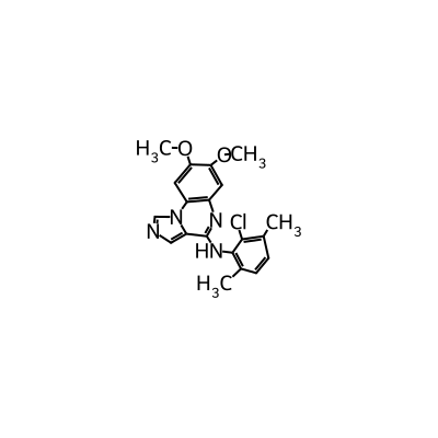 COc1cc2nc(Nc3c(C)ccc(C)c3Cl)c3cncn3c2cc1OC